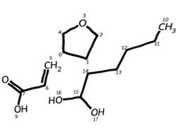 C1CCOC1.C=CC(=O)O.CCCCCC(O)O